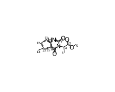 COC(=O)C(C)n1c(=O)[nH]c2ccc(C)cc2c1=O